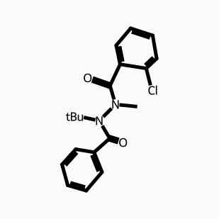 CN(C(=O)c1ccccc1Cl)N(C(=O)c1ccccc1)C(C)(C)C